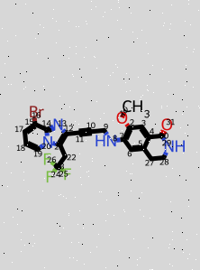 COc1cc2c(cc1NCC#Cc1nc3c(Br)cccn3c1CC(F)(F)F)CCNC2=O